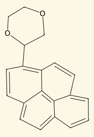 c1cc2ccc3ccc(C4COCCO4)c4ccc(c1)c2c34